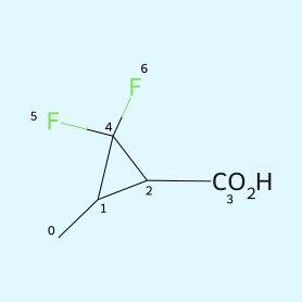 CC1C(C(=O)O)C1(F)F